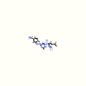 N#Cc1ccc(CNc2ncnc(Nc3cc(C4CC4)[nH]n3)n2)cc1